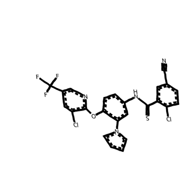 N#Cc1ccc(Cl)c(C(=S)Nc2ccc(Oc3ncc(C(F)(F)F)cc3Cl)c(-n3cccc3)c2)c1